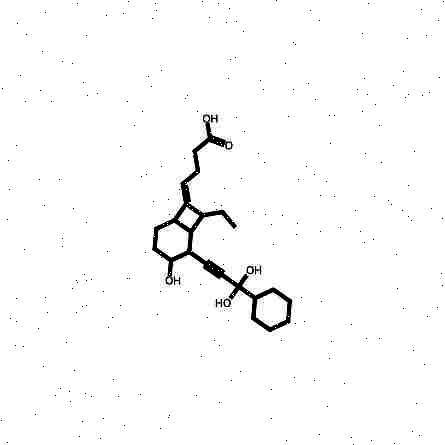 CCC1C(=CCCC(=O)O)C2CCC(O)C(C#CC(O)(O)C3CCCCC3)C12